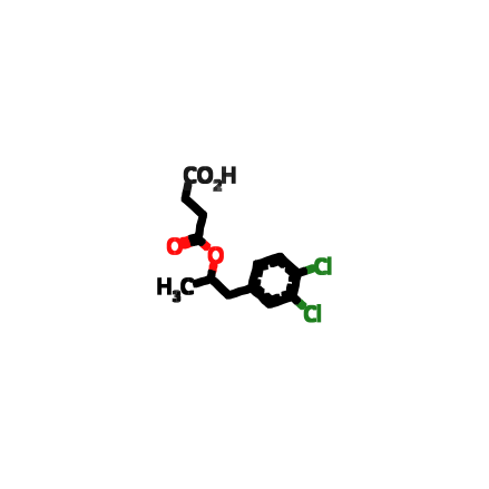 CC(Cc1ccc(Cl)c(Cl)c1)OC(=O)CCC(=O)O